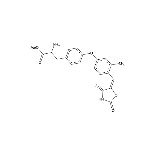 COC(=O)C(N)Cc1ccc(Oc2ccc(C=C3OC(=O)NC3=O)c(C(F)(F)F)c2)cc1